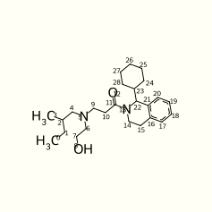 CCC(C)CN(CCO)CCC(=O)N1CCc2ccccc2C1C1CCCCC1